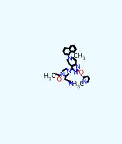 C=CC(=O)N1CCN(c2nc(OC[C@@H]3CCCN3C)nc3c2CCN(c2cccc4cccc(C)c24)C=C3)CC1CC#N